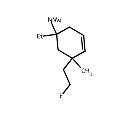 CCC1(NC)CC=CC(C)(CCF)C1